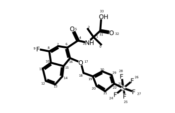 CC(C)(NC(=O)c1cc(F)c2ccccc2c1OCc1ccc(S(F)(F)(F)(F)F)cc1)C(=O)O